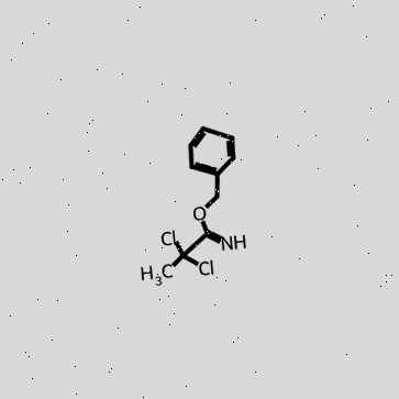 CC(Cl)(Cl)C(=N)OCc1ccccc1